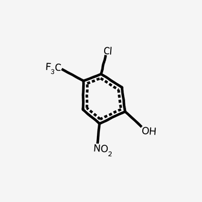 O=[N+]([O-])c1cc(C(F)(F)F)c(Cl)cc1O